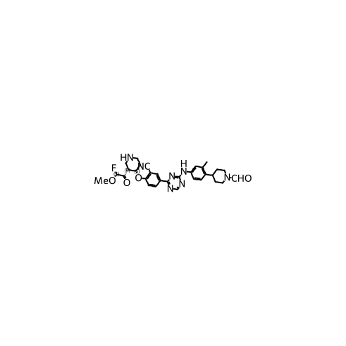 CO[C@@H](F)C(=O)[C@@H]1CNCC[C@@H]1Oc1ccc(-c2ncnc(Nc3ccc(C4CCN(C=O)CC4)c(C)c3)n2)cc1C#N